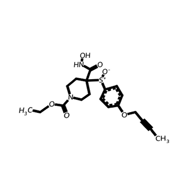 CC#CCOc1ccc([S+]([O-])C2(C(=O)NO)CCN(C(=O)OCC)CC2)cc1